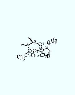 CCO[Si](OCC)(OC(C)C(C)OC(Cl)(Cl)Cl)C(C)OC